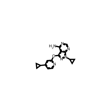 Nc1ncnc2c1c(Oc1cc(C3CC3)ccn1)nn2C1CC1